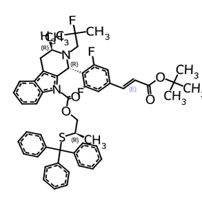 C[C@H](COC(=O)n1c2c(c3ccccc31)C[C@@H](C)N(CC(C)(C)F)[C@@H]2c1c(F)cc(/C=C/C(=O)OC(C)(C)C)cc1F)SC(c1ccccc1)(c1ccccc1)c1ccccc1